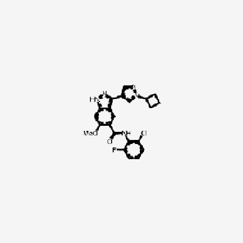 COc1cc2[nH]nc(-c3cnn(C4CCC4)c3)c2cc1C(=O)Nc1c(F)cccc1Cl